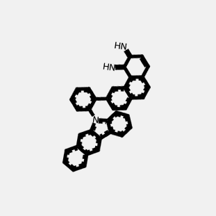 N=C1C=Cc2ccc3ccc(-c4ccccc4-n4c5ccccc5c5cc6ccccc6cc54)cc3c2C1=N